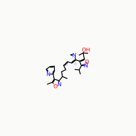 C=N/C(=C\C=C/CCC(C)c1noc(C)c1-c1ccccn1)c1c(C(C)C)noc1C(C)(C)O